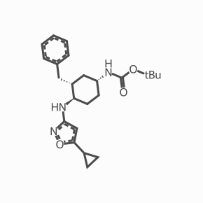 CC(C)(C)OC(=O)N[C@@H]1CC[C@@H](Nc2cc(C3CC3)on2)[C@H](Cc2ccccc2)C1